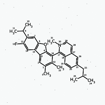 Cc1cc2c(oc3cc(C(C)C)c(F)cc32)c(-c2c3ccc(CC(C)C)cc3cc[n+]2C)c1C